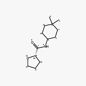 CC1(C)CCC(NC(=O)[C@@H]2CCCO2)CC1